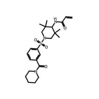 C=CC(=O)NC1C(C)(C)CN(S(=O)(=O)c2cccc(C(=O)N3CCCCC3)c2)CC1(C)C